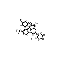 CCNC(=O)C(c1cc(C(F)(F)F)cc(C(F)(F)F)c1)(c1ccc(F)cc1F)N1CCC(N2CCCCC2)CC1